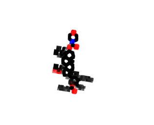 CNC(=O)OC(C(C)C)C(C[C@@H](C)[C@H]1C[C@H](O)[C@@]2(C)C3CC[C@H]4C(C)(C)C(OC(=O)N5CCOCC5)CCC45CC35CCC12C)OC